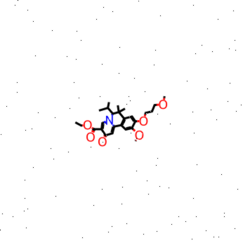 CCOC(=O)c1cn2c(cc1=O)-c1cc(OC)c(OCCCOC)cc1C(C)(C)C2C(C)C